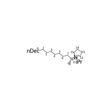 CCCCCCCCCCCCCCCCCC(I)[N+]1(C(C)C)CCCC1